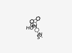 Cc1nc(C2CCC(N(CC3c4ccccc4-c4ccccc43)C(=O)O)CC2)cs1